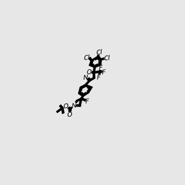 CC(C)(C)OC(=O)N1CC(F)(c2ccc(C3=NOC(c4cc(Cl)c(Cl)c(Cl)c4)(C(F)(F)F)C3)cc2)C1